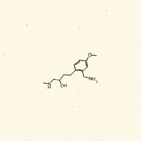 CNCC(O)CCc1ccc(OC)cc1CN